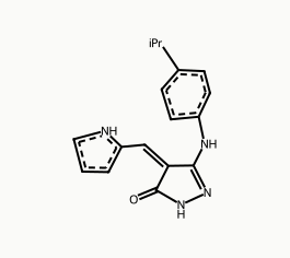 CC(C)c1ccc(NC2=NNC(=O)C2=Cc2ccc[nH]2)cc1